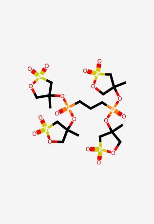 CC1(OP(=O)(CCCP(=O)(OC2(C)COS(=O)(=O)C2)OC2(C)COS(=O)(=O)C2)OC2(C)COS(=O)(=O)C2)COS(=O)(=O)C1